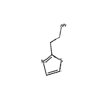 CCCCCc1nc[c]s1